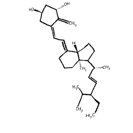 C=C1/C(=C\C=C2/CCC[C@]3(C)C([C@H](C)/C=C/[C@@H](CC)C(C)C)CC[C@@H]23)C[C@@H](O)C[C@@H]1O